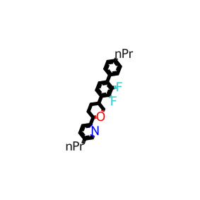 CCCc1ccc(-c2ccc(C3CCC(c4ccc(CCC)cn4)OC3)c(F)c2F)cc1